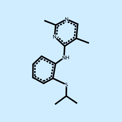 Cc1ncc(C)c(Nc2ccccc2SC(C)C)n1